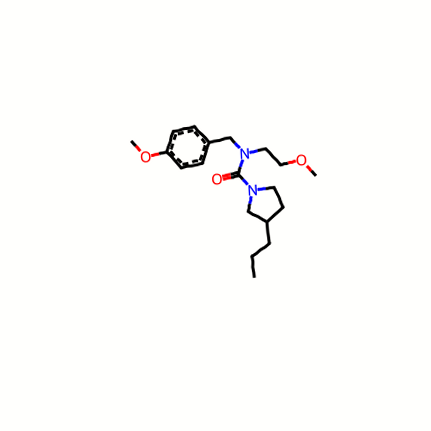 CCCC1CCN(C(=O)N(CCOC)Cc2ccc(OC)cc2)C1